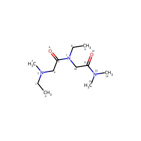 CCN(C)CC(=O)N(CC)CC(=O)N(C)C